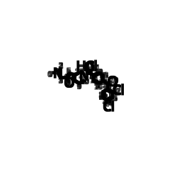 CN(C)Cc1cc2c(o1)CCN(C(=O)c1ccc(C(=O)c3ccc(Cl)cc3Cl)cc1)C2.Cl